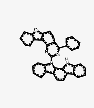 c1ccc(-c2nc(-n3c4ccccc4c4ccc5c6ccccc6[nH]c5c43)nc3c2ccc2oc4ccccc4c23)cc1